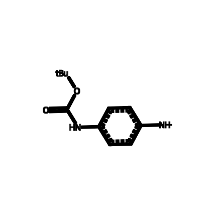 CC(C)(C)OC(=O)Nc1ccc([NH])cc1